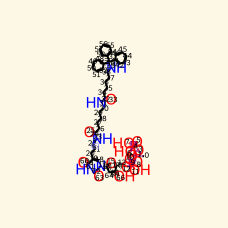 CP(=O)(OP(=O)(O)O)OP(=O)(O)OC[C@H]1O[C@@H](n2cc(C/C=C/NC(=O)CCCCCNC(=O)CCCCCNC(c3ccccc3)(c3ccccc3)c3ccccc3)c(=O)[nH]c2=O)C[C@@H]1O